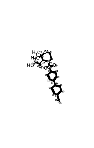 CC1(C)SCCN(S(=O)(=O)c2ccc(-c3ccc(C#N)cc3)cc2)[C@H]1C(=O)NO